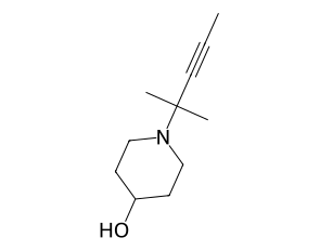 CC#CC(C)(C)N1CCC(O)CC1